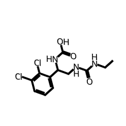 CCNC(=O)NCC(NC(=O)O)c1cccc(Cl)c1Cl